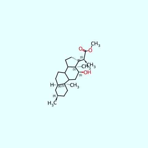 COC(=O)[C@@H](C)[C@H]1CCC2C3CC[C@@H]4C[C@H](C)CC[C@]4(C)C3C[C@H](O)[C@@]21C